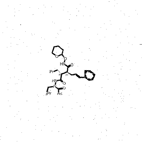 CC(=O)C(=O)N(CC(C)C)NC(=O)[C@H](CC(C)C)[C@H](CC=Cc1ccccc1)C(=O)NOC1CCCCO1